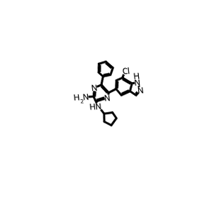 Nc1nc(-c2ccccc2)c(-c2cc(Cl)c3[nH]ncc3c2)nc1NC1CCCC1